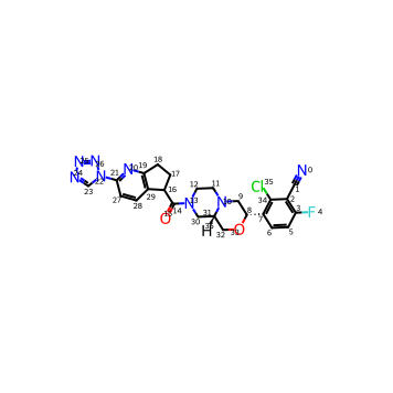 N#Cc1c(F)ccc([C@H]2CN3CCN(C(=O)C4CCc5nc(-n6cnnn6)ccc54)C[C@H]3CO2)c1Cl